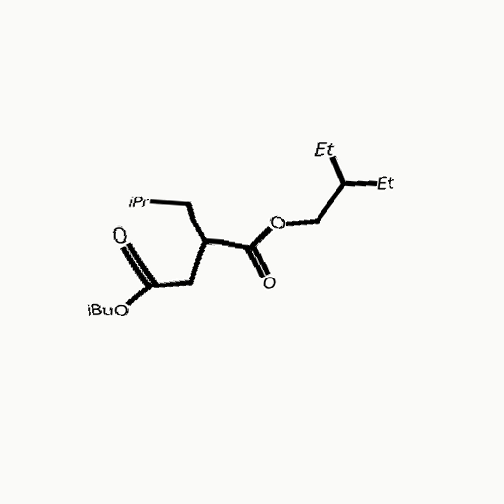 CCC(CC)COC(=O)C(CC(=O)OCC(C)C)CC(C)C